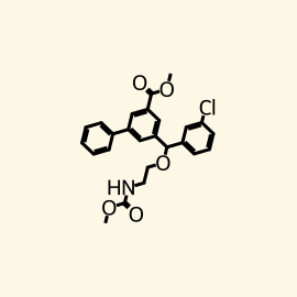 COC(=O)NCCOC(c1cccc(Cl)c1)c1cc(C(=O)OC)cc(-c2ccccc2)c1